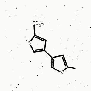 Cc1cc(-c2csc(C(=O)O)c2)cs1